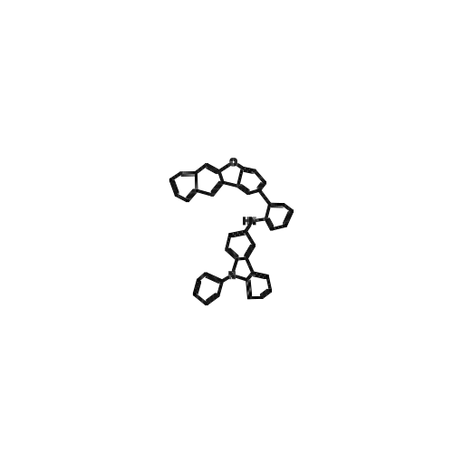 c1ccc(-n2c3ccccc3c3cc(Nc4ccccc4-c4ccc5oc6cc7ccccc7cc6c5c4)ccc32)cc1